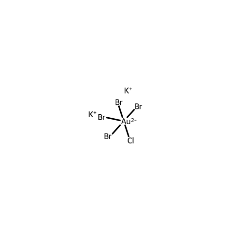 [Cl][Au-2]([Br])([Br])([Br])[Br].[K+].[K+]